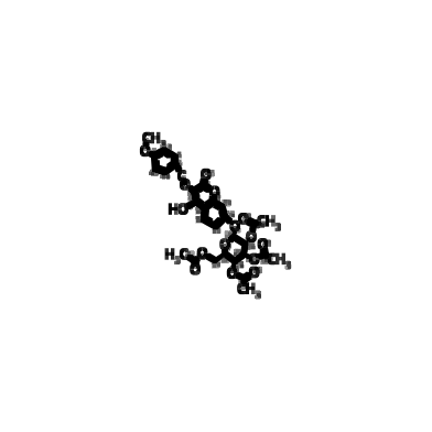 COc1ccc(COc2c(O)c3ccc(O[C@@H]4O[C@H](COC(C)=O)[C@H](OC(C)=O)[C@H](OC(C)=O)[C@H]4OC(C)=O)cc3oc2=O)cc1